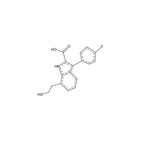 O=C(O)c1[nH]c2c(CCO)cccc2c1-c1ccc(F)cc1